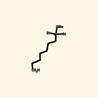 CC[Si](CC)(CCCCCCC(=O)O)OC